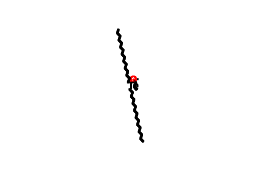 C=CC[O].CCCCCCCCCCCCCCCC[Te]CCCCCCCCCCCCCCCC